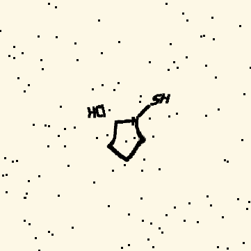 Cl.SN1CCCC1